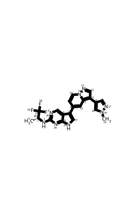 C[C@@H](Nc1ncc2c(-c3ccn4ncc(-c5cnn(C)c5)c4c3)c[nH]c2n1)C(F)(F)F